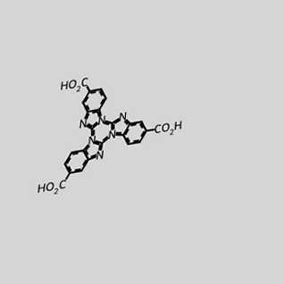 O=C(O)c1ccc2c(c1)nc1n2c2nc3cc(C(=O)O)ccc3n2c2nc3cc(C(=O)O)ccc3n12